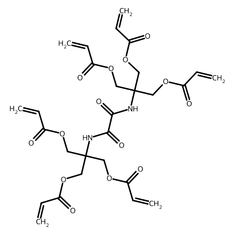 C=CC(=O)OCC(COC(=O)C=C)(COC(=O)C=C)NC(=O)C(=O)NC(COC(=O)C=C)(COC(=O)C=C)COC(=O)C=C